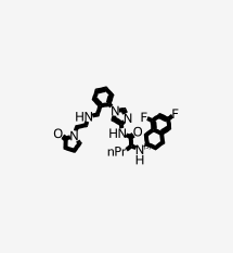 CCCC(N[C@H]1CCc2cc(F)cc(F)c2C1)C(=O)Nc1cn(-c2ccccc2CNCCN2CCCC2=O)cn1